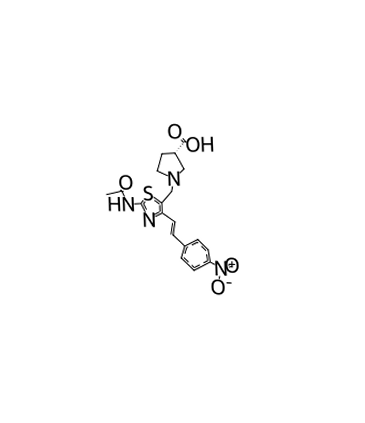 CC(=O)Nc1nc(C=Cc2ccc([N+](=O)[O-])cc2)c(CN2CC[C@H](C(=O)O)C2)s1